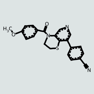 COc1ccc(C(=O)N2CCSc3c(-c4ccc(C#N)cc4)cncc32)cc1